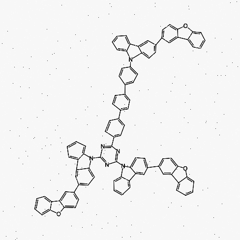 c1ccc2c(c1)oc1ccc(-c3ccc4c(c3)c3ccccc3n4-c3ccc(-c4ccc(-c5ccc(-c6nc(-n7c8ccccc8c8cc(-c9ccc%10oc%11ccccc%11c%10c9)ccc87)nc(-n7c8ccccc8c8cc(-c9ccc%10oc%11ccccc%11c%10c9)ccc87)n6)cc5)cc4)cc3)cc12